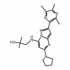 Cc1nc(C)c(-c2cc3nc(N4CCCC4)cc(NCC(C)(C)O)n3n2)nc1C